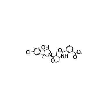 CCC(NC(=O)c1cccc(C(=O)OC)c1)C(C)C(=O)N1CC[C@](O)(c2ccc(Cl)cc2)C(C)(C)C1